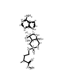 CC(C)OC(=O)[C@@H](C)CCOP1(=O)C[C@@H]2[C@@H](CO1)O[C@@H](n1ccc3c(N)ncnc31)[C@]2(C)Cl